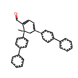 CC1(c2ccc(-c3ccccc3)cc2)CC(c2ccc(-c3ccccc3)cc2)=CC=C1C=O